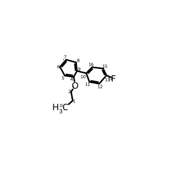 CCCOc1cc[c]cc1-c1ccc(F)cc1